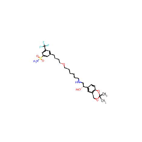 CC1(C)OCc2cc([C@H](O)CNCCCCCCOCCCCc3cc(C(F)(F)F)cc(S(N)(=O)=O)c3)ccc2O1